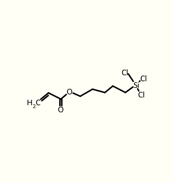 C=CC(=O)OCCCCC[Si](Cl)(Cl)Cl